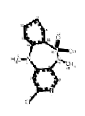 CN1c2cc(Cl)ncc2N(C)S(=O)(=O)c2ccccc21